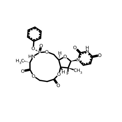 C[C@@H]1N[P@](=O)(Oc2ccccc2)OC[C@H]2O[C@@H](n3ccc(=O)[nH]c3=O)[C@](C)(F)[C@@H]2OC(=O)CCOC1=O